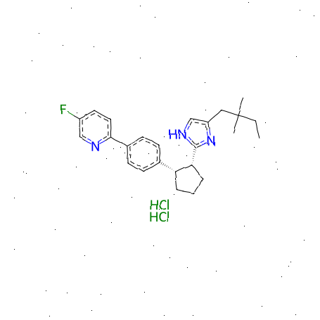 CCC(C)(C)Cc1c[nH]c([C@@H]2CCC[C@@H]2c2ccc(-c3ccc(F)cn3)cc2)n1.Cl.Cl